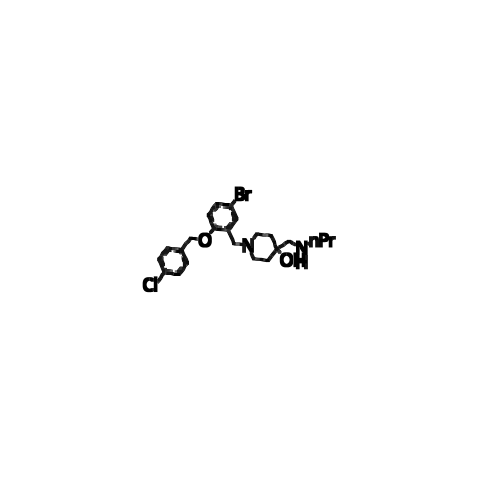 CCCNCC1(O)CCN(Cc2cc(Br)ccc2OCc2ccc(Cl)cc2)CC1